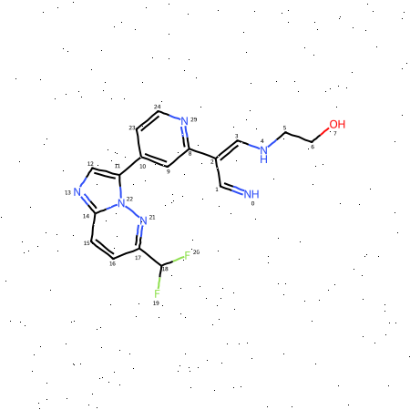 N=C/C(=C\NCCO)c1cc(-c2cnc3ccc(C(F)F)nn23)ccn1